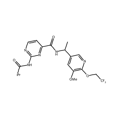 COc1cc(C(C)NC(=O)c2ccnc(NC(=O)C(C)C)n2)cnc1OCC(F)(F)F